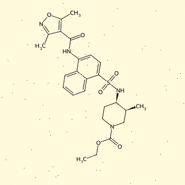 CCOC(=O)N1CC[C@@H](NS(=O)(=O)c2ccc(NC(=O)c3c(C)noc3C)c3ccccc23)[C@@H](C)C1